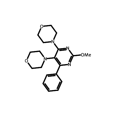 COc1nc(-c2ccccc2)c(N2CCOCC2)c(N2CCOCC2)n1